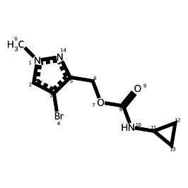 Cn1cc(Br)c(COC(=O)NC2CC2)n1